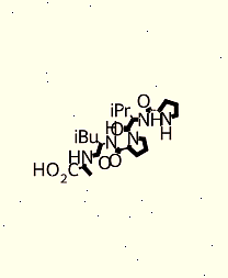 CC[C@H](C)[C@H](NC(=O)[C@@H]1CCCN1C(=O)[C@@H](NC(=O)[C@@H]1CCCN1)C(C)C)C(=O)N[C@@H](C)C(=O)O